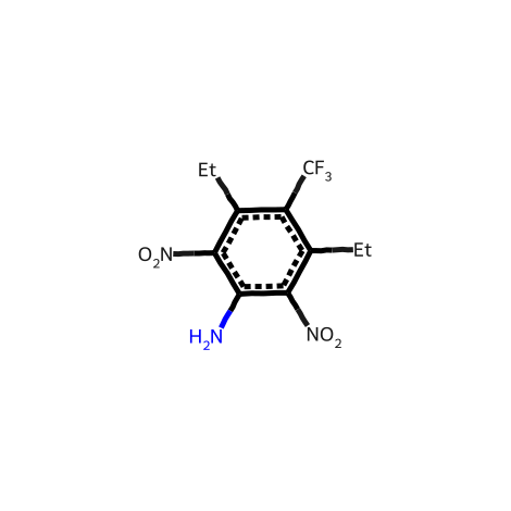 CCc1c([N+](=O)[O-])c(N)c([N+](=O)[O-])c(CC)c1C(F)(F)F